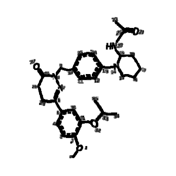 COc1ccc(C2=NN(Cc3ccc(N4CCCCC4NC(C)=O)cc3)C(=O)CC2)cc1OC(C)C